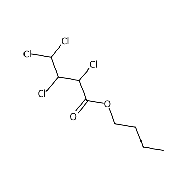 CCCCOC(=O)C(Cl)C(Cl)C(Cl)Cl